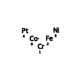 [Co].[Cr].[Fe].[Ni].[Pt]